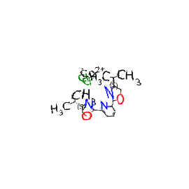 CC(C)[C@H]1COC(c2cccc(C3=N[C@@H](C(C)C)CO3)n2)=N1.[Cl-].[Cl-].[Co+2]